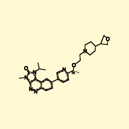 CC(C)n1c(=O)n(C)c2nnc3ccc(-c4ccc([C@@H](C)OCCN5CCC(C6COC6)CC5)nc4)cc3c21